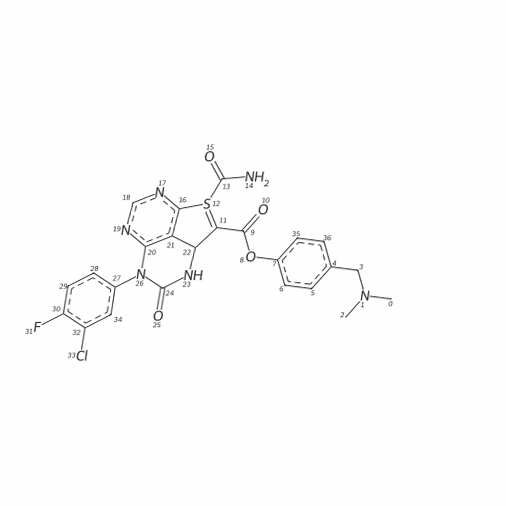 CN(C)Cc1ccc(OC(=O)C2=S(C(N)=O)c3ncnc4c3C2NC(=O)N4c2ccc(F)c(Cl)c2)cc1